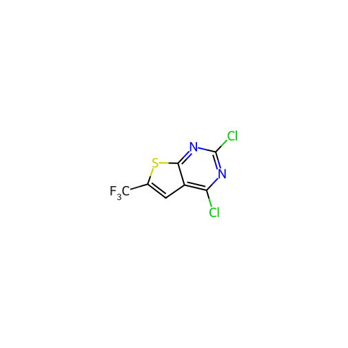 FC(F)(F)c1cc2c(Cl)nc(Cl)nc2s1